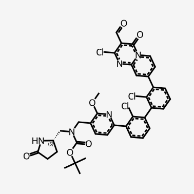 COc1nc(-c2cccc(-c3cccc(-c4ccn5c(=O)c(C=O)c(Cl)nc5c4)c3Cl)c2Cl)ccc1CN(C[C@@H]1CCC(=O)N1)C(=O)OC(C)(C)C